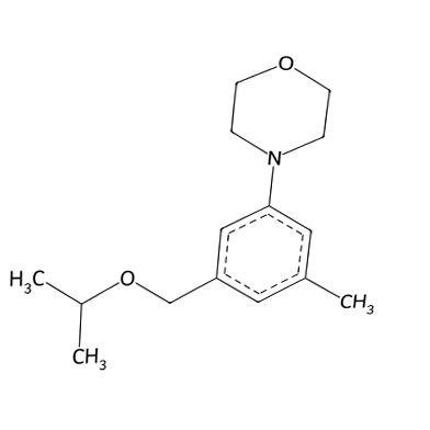 Cc1cc(COC(C)C)cc(N2CCOCC2)c1